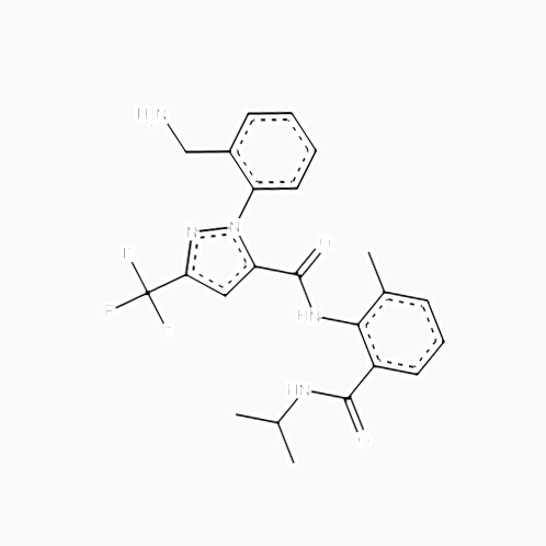 Cc1cccc(C(=O)NC(C)C)c1NC(=O)c1cc(C(F)(F)F)nn1-c1ccccc1CN